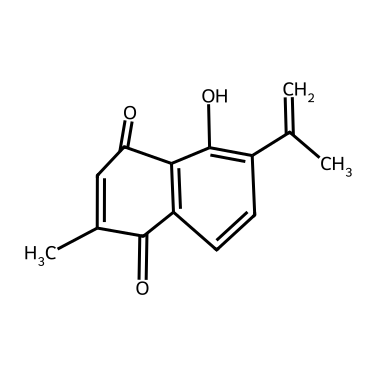 C=C(C)c1ccc2c(c1O)C(=O)C=C(C)C2=O